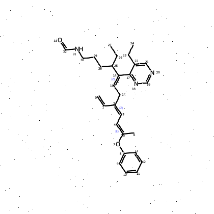 C=C/C(=C\C=C(/C)Oc1ccccc1)C/C=C(\c1ncncc1CC)C(CC)CCCNC=O